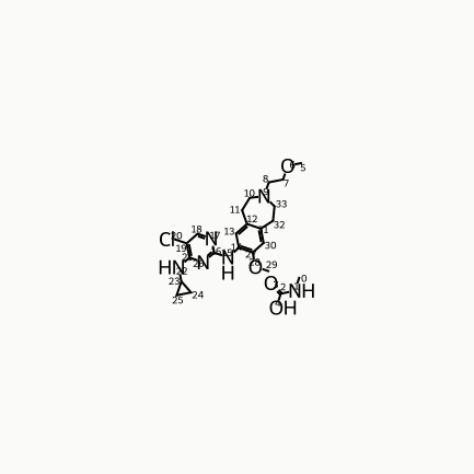 CNC(=O)O.COCCN1CCc2cc(Nc3ncc(Cl)c(NC4CC4)n3)c(OC)cc2CC1